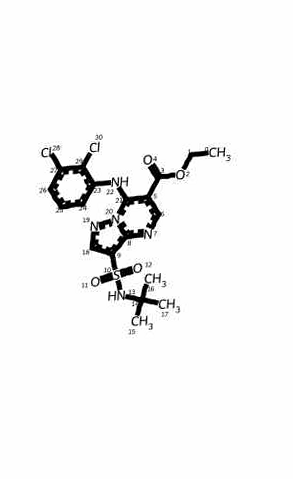 CCOC(=O)c1cnc2c(S(=O)(=O)NC(C)(C)C)cnn2c1Nc1cccc(Cl)c1Cl